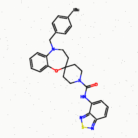 CC(C)(C)c1ccc(CN2CCC3(CCN(C(=O)Nc4cccc5nsnc45)CC3)Oc3ccccc32)cc1